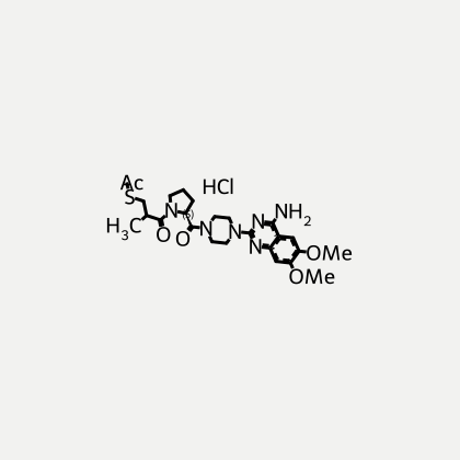 COc1cc2nc(N3CCN(C(=O)[C@@H]4CCCN4C(=O)C(C)CSC(C)=O)CC3)nc(N)c2cc1OC.Cl